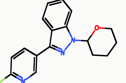 Fc1ccc(-c2nn(C3CCCCO3)c3ccccc23)cn1